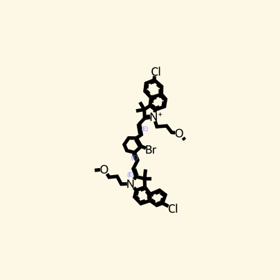 COCCCN1/C(=C/C=C2\CCCC(/C=C/C3=[N+](CCCOC)c4ccc5cc(Cl)ccc5c4C3(C)C)=C2Br)C(C)(C)c2c1ccc1cc(Cl)ccc21